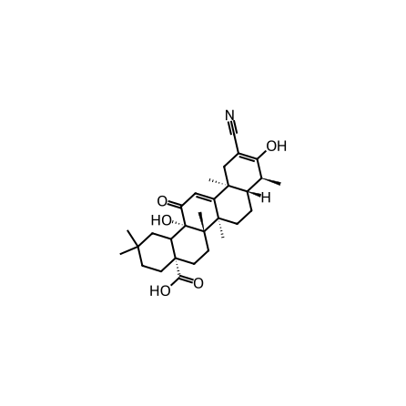 C[C@@H]1C(O)=C(C#N)C[C@]2(C)C3=CC(=O)[C@]4(O)C5CC(C)(C)CC[C@]5(C(=O)O)CC[C@@]4(C)[C@]3(C)CC[C@@H]12